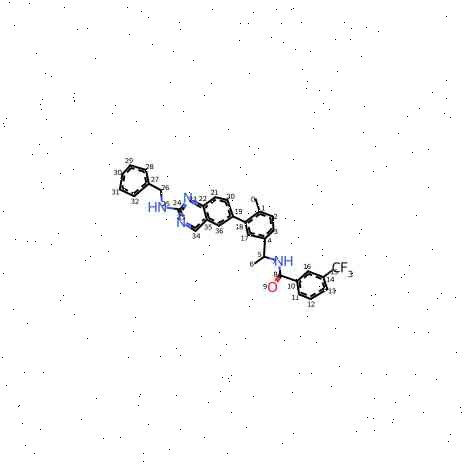 Cc1ccc(C(C)NC(=O)c2cccc(C(F)(F)F)c2)cc1-c1ccc2nc(NCc3ccccc3)ncc2c1